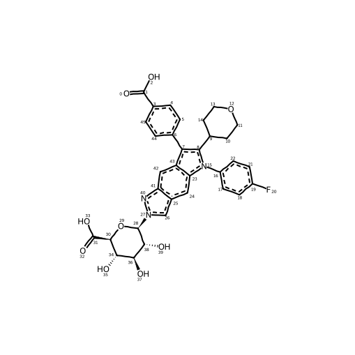 O=C(O)c1ccc(-c2c(C3CCOCC3)n(-c3ccc(F)cc3)c3cc4cn([C@@H]5O[C@H](C(=O)O)[C@@H](O)[C@H](O)[C@H]5O)nc4cc23)cc1